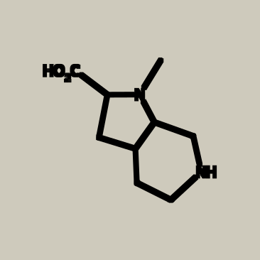 CN1C(C(=O)O)CC2CCNCC21